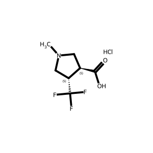 CN1C[C@@H](C(F)(F)F)[C@H](C(=O)O)C1.Cl